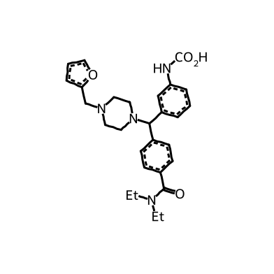 CCN(CC)C(=O)c1ccc(C(c2cccc(NC(=O)O)c2)N2CCN(Cc3ccco3)CC2)cc1